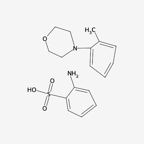 Cc1ccccc1N1CCOCC1.Nc1ccccc1S(=O)(=O)O